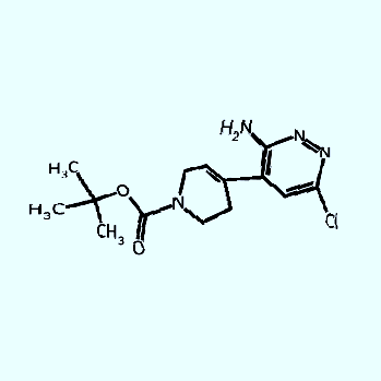 CC(C)(C)OC(=O)N1CC=C(c2cc(Cl)nnc2N)CC1